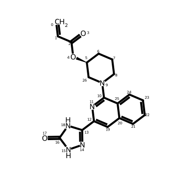 C=CC(=O)O[C@H]1CCCN(c2nc(-c3n[nH]c(=O)[nH]3)cc3ccccc23)C1